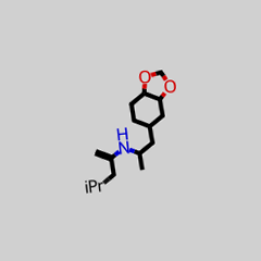 C=C(CC(C)C)NC(C)CC1CCC2OCOC2C1